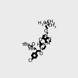 CC(C)(C)OC(=O)NC[C@H](C(=O)N1CCN2c3ncnc4c3c(cn4COCC[Si](C)(C)C)OC[C@@H]2C1)c1ccc(Cl)cc1